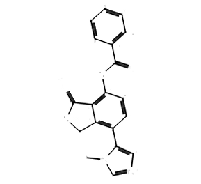 Cn1cncc1-c1ccc(NC(=O)c2ccccc2)c2c1CNC2=O